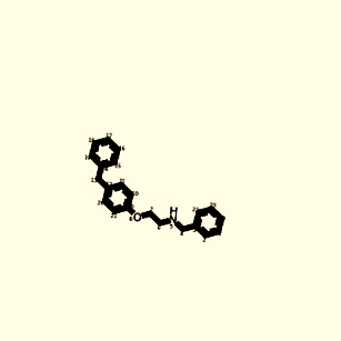 c1ccc(CNCCOc2ccc(Cc3ccccc3)cc2)cc1